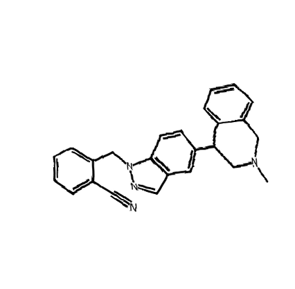 CN1Cc2ccccc2C(c2ccc3c(cnn3Cc3ccccc3C#N)c2)C1